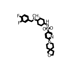 CN(Cc1ccc(F)c(F)c1)C1CCC(NS(=O)(=O)c2ccc(N3CCC4(CCOC4)CC3)nc2)CC1